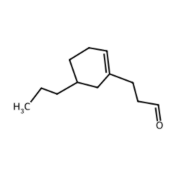 CCCC1CCC=C(CCC=O)C1